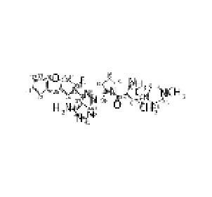 CN1CCN(C(C)(C)C=C(C#N)C(=O)N2CCCC2Cn2nc(-c3ccc(Oc4ccccc4)cc3F)c3c(N)ncnc32)CC1